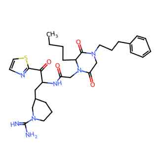 CCCCC1C(=O)N(CCCc2ccccc2)CC(=O)N1CC(=O)NC(CC1CCCN(C(=N)N)C1)C(=O)c1nccs1